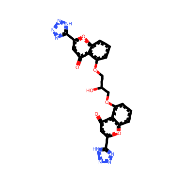 O=c1cc(-c2nnn[nH]2)oc2cccc(OCC(O)COc3cccc4oc(-c5nnn[nH]5)cc(=O)c34)c12